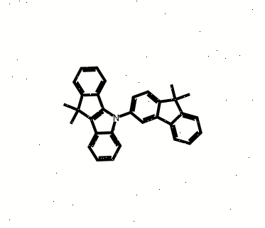 CC1(C)c2ccccc2-c2cc(-n3c4c(c5ccccc53)C(C)(C)c3ccccc3-4)ccc21